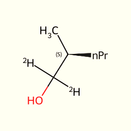 [2H]C([2H])(O)[C@@H](C)CCC